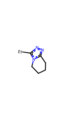 CCc1nnc2n1CCCC2